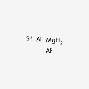 [Al].[Al].[MgH2].[Si]